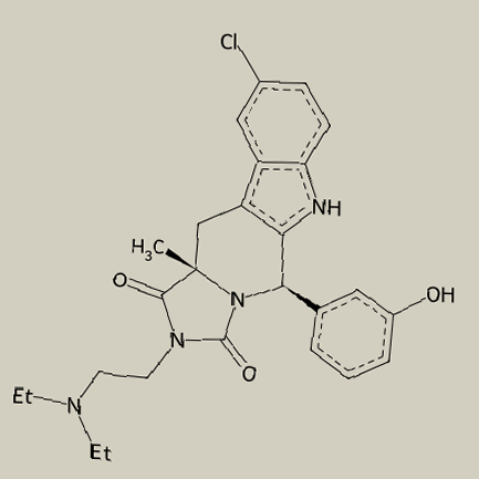 CCN(CC)CCN1C(=O)N2[C@H](c3cccc(O)c3)c3[nH]c4ccc(Cl)cc4c3C[C@@]2(C)C1=O